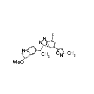 COc1cnc2ccc(C(C)c3nnc4c(F)cc(-c5cc(C)no5)cn34)cc2c1